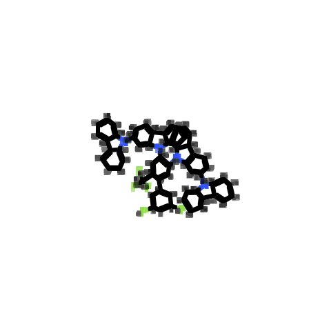 Fc1cc(F)cc(-c2cc(N3c4cc(-n5c6ccccc6c6ccccc65)ccc4C4C=CC=CC43)c(-n3c4ccccc4c4ccc(-n5c6ccccc6c6ccccc65)cc43)cc2C(F)(F)F)c1